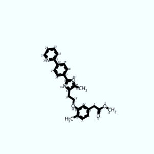 COC(=O)Cc1ccc(C)c(OCCc2nc(-c3ccc(-c4ccccn4)cc3)oc2C)c1